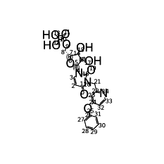 O=c1ccn([C@@H]2O[C@H](COP(=O)(O)O)C(O)[C@@H]2O)c(=O)n1Cc1cc(Oc2ccccc2)ccn1